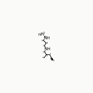 C#CCC(C)CNCCCNCCC